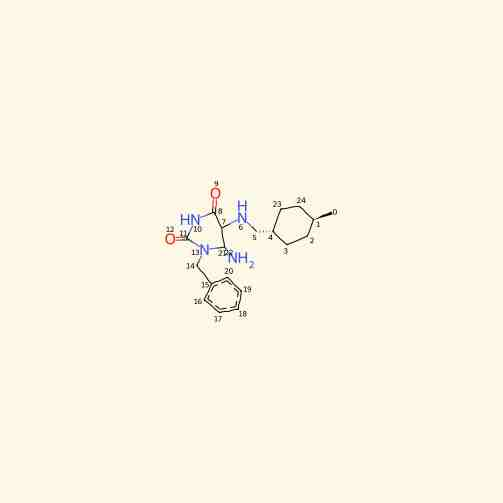 C[C@H]1CC[C@H](CNC2C(=O)NC(=O)N(Cc3ccccc3)C2N)CC1